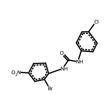 O=C(Nc1ccc(Cl)cc1)Nc1ccc([N+](=O)[O-])cc1Br